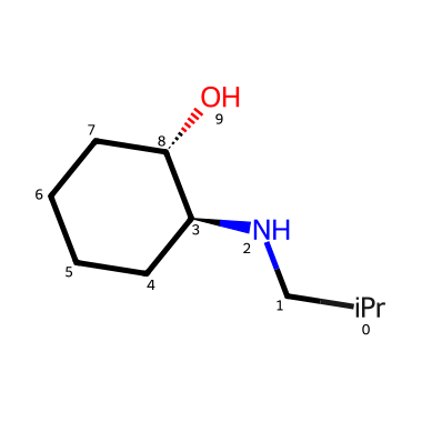 CC(C)CN[C@H]1CCCC[C@@H]1O